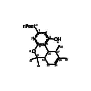 CCCCCc1cc(O)c2c(n1)OC(C)(C)C1CC=C(C)[C@H](C)C21